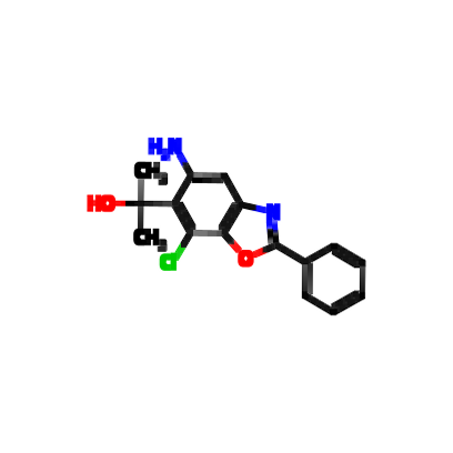 CC(C)(O)c1c(N)cc2nc(-c3ccccc3)oc2c1Cl